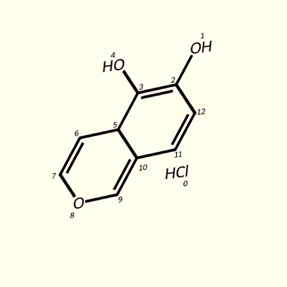 Cl.OC1=C(O)C2C=COC=C2C=C1